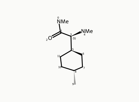 CNC(=O)[C@@H](NC)[C@H]1CC[C@H](C)CC1